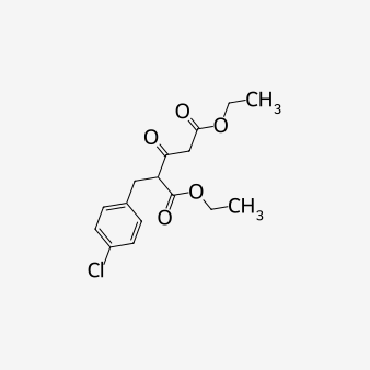 CCOC(=O)CC(=O)C(Cc1ccc(Cl)cc1)C(=O)OCC